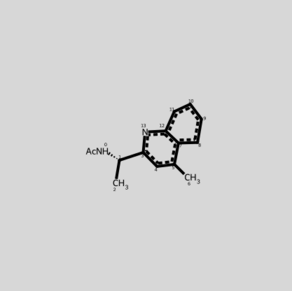 CC(=O)N[C@@H](C)c1cc(C)c2ccccc2n1